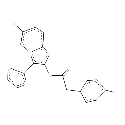 O=C(Cc1ccc(F)cc1)Nc1nc2ccc(F)cn2c1-c1nccs1